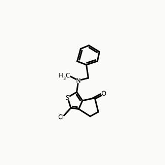 CN(Cc1ccccc1)c1sc(Cl)c2c1C(=O)CC2